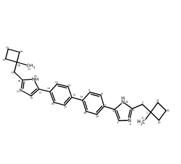 CC1(Cc2ncc(-c3ccc(-c4ccc(-c5cnc(CC6(C)CCC6)[nH]5)cc4)cc3)[nH]2)CCC1